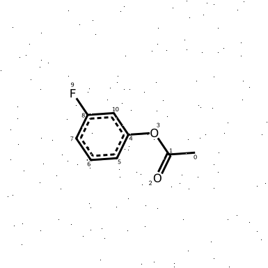 CC(=O)Oc1c[c]cc(F)c1